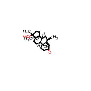 C=C1C[C@@H]2[C@@H](CC[C@@]3(C)[C@H]2CCC3(C)O)[C@@]2(C)CCC(=O)C=C12